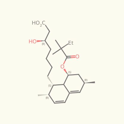 CCC(C)(C)C(=O)O[C@H]1C[C@@H](C)C=C2C=C[C@H](C)[C@H](CCCC[C@@H](O)CC(=O)O)C21